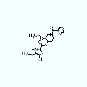 CCOC1CN(C(=O)c2cscn2)CCC1NC(=O)c1nc(Cl)c(CC)[nH]1